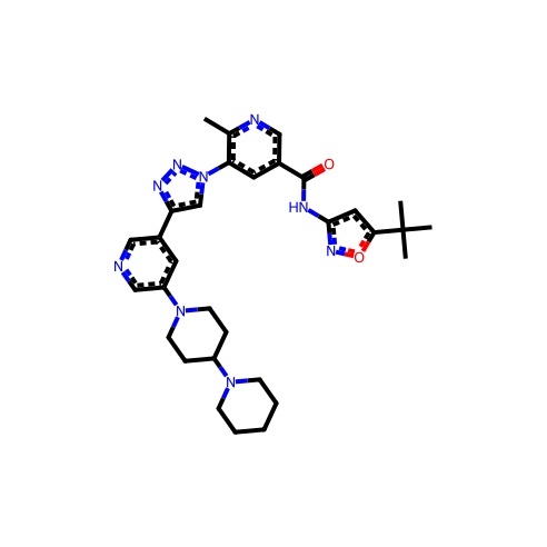 Cc1ncc(C(=O)Nc2cc(C(C)(C)C)on2)cc1-n1cc(-c2cncc(N3CCC(N4CCCCC4)CC3)c2)nn1